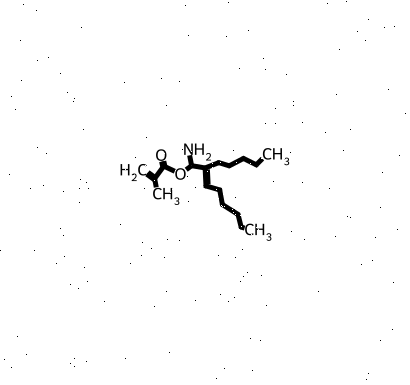 C=C(C)C(=O)OC(N)C(=CCCCCC)CCCCC